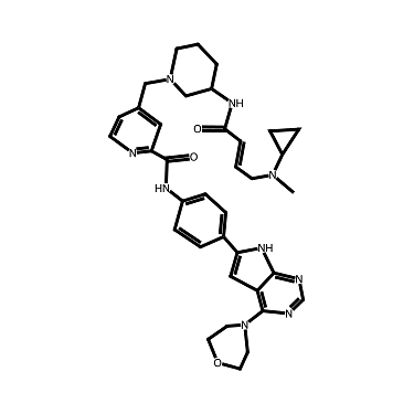 CN(CC=CC(=O)NC1CCCN(Cc2ccnc(C(=O)Nc3ccc(-c4cc5c(N6CCOCC6)ncnc5[nH]4)cc3)c2)C1)C1CC1